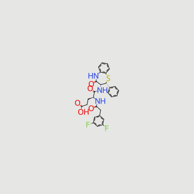 O=C(O)CC[C@H](NC(=O)Cc1cc(F)cc(F)c1)C(=O)N[C@@H]1C(=O)Nc2ccccc2S[C@@H]1c1ccccc1